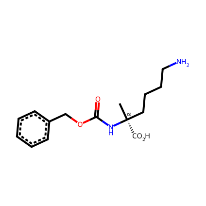 C[C@@](CCCCN)(NC(=O)OCc1ccccc1)C(=O)O